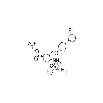 CN(C)S(=O)(=O)NC1CCN(C(=O)OCC2(F)CC2)CC1CO[C@H]1CC[C@@H](c2cccc(F)c2)CC1